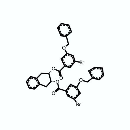 O=C(O[C@H]1Cc2ccccc2C[C@H]1OC(=O)c1cc(Br)cc(OCc2ccccc2)c1)c1cc(Br)cc(OCc2ccccc2)c1